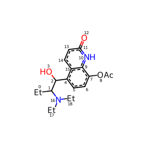 CCC(C(O)c1ccc(OC(C)=O)c2[nH]c(=O)ccc12)N(CC)CC